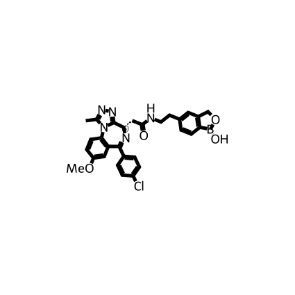 COc1ccc2c(c1)C(c1ccc(Cl)cc1)=N[C@@H](CC(=O)NCCc1ccc3c(c1)COB3O)c1nnc(C)n1-2